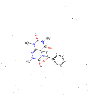 CN1N=C2N(C)C(=O)N(C)C(=O)C2(CC(=O)c2ccccc2)NC1=O